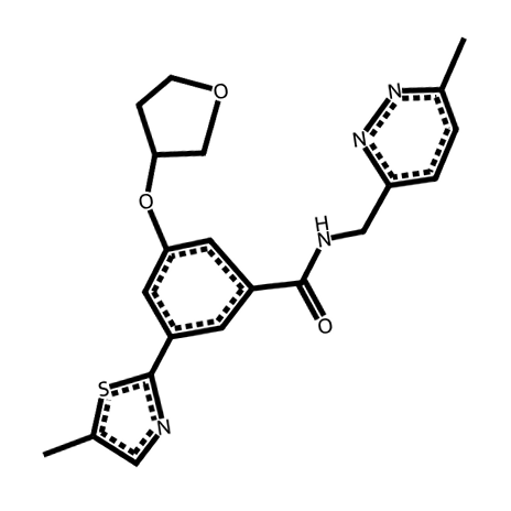 Cc1ccc(CNC(=O)c2cc(OC3CCOC3)cc(-c3ncc(C)s3)c2)nn1